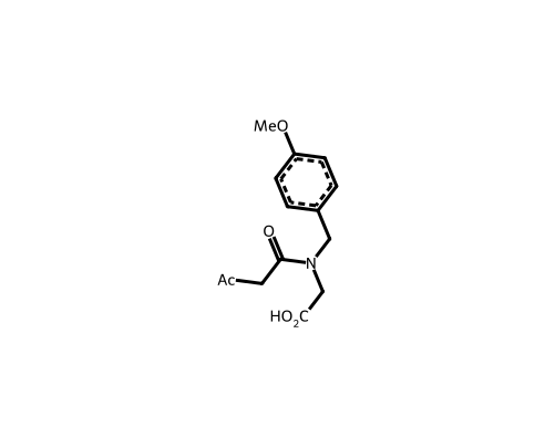 COc1ccc(CN(CC(=O)O)C(=O)CC(C)=O)cc1